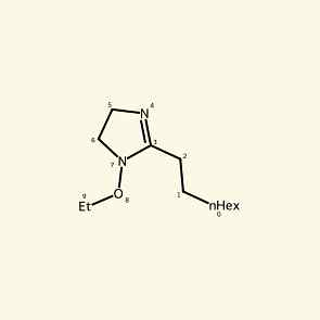 CCCCCCCCC1=NCCN1OCC